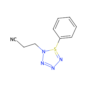 N#CCCN1N=NN=S1c1ccccc1